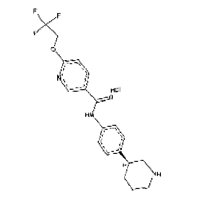 Cl.O=C(Nc1ccc([C@@H]2CCCNC2)cc1)c1ccc(OCC(F)(F)F)nc1